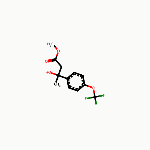 COC(=O)CC(C)(O)c1ccc(OC(F)(F)F)cc1